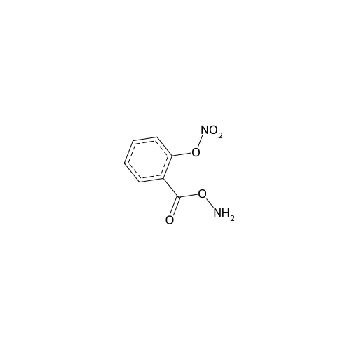 NOC(=O)c1ccccc1O[N+](=O)[O-]